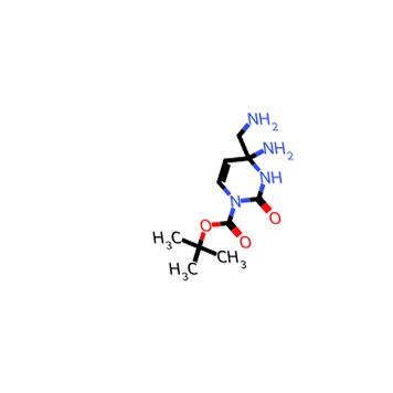 CC(C)(C)OC(=O)N1C=CC(N)(CN)NC1=O